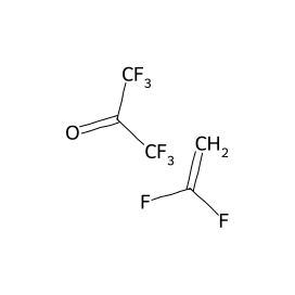 C=C(F)F.O=C(C(F)(F)F)C(F)(F)F